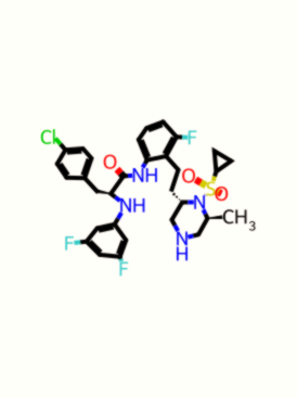 C[C@H]1CNC[C@H](CCc2c(F)cccc2NC(=O)[C@H](Cc2ccc(Cl)cc2)Nc2cc(F)cc(F)c2)N1S(=O)(=O)C1CC1